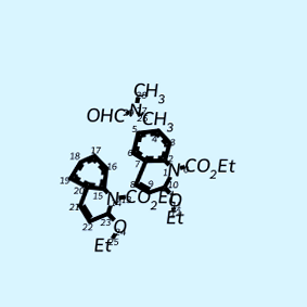 CCOC(=O)N1c2ccccc2C=CC1OCC.CCOC(=O)N1c2ccccc2C=CC1OCC.CN(C)C=O